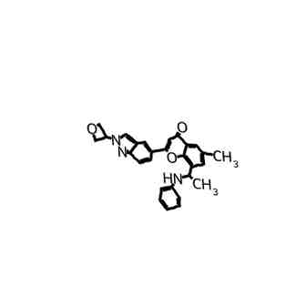 Cc1cc(C(C)Nc2ccccc2)c2oc(-c3ccc4nn(C5COC5)cc4c3)cc(=O)c2c1